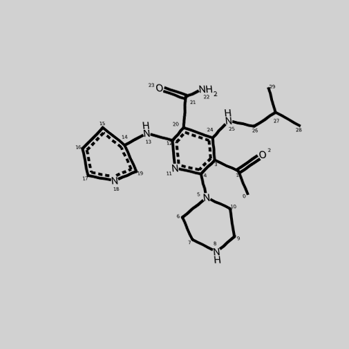 CC(=O)c1c(N2CCNCC2)nc(Nc2cccnc2)c(C(N)=O)c1NCC(C)C